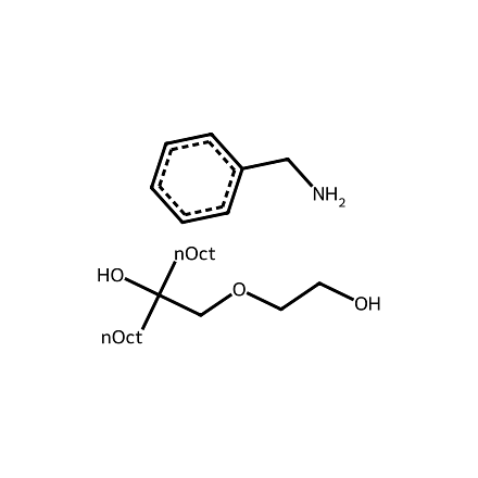 CCCCCCCCC(O)(CCCCCCCC)COCCO.NCc1ccccc1